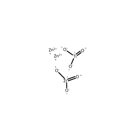 [O]=[Ti]([O-])[O-].[O]=[Zr]([O-])[O-].[Zn+2].[Zn+2]